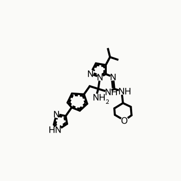 CC(C)c1cnn2c1N=C(NC1CCOCC1)NC2(N)Cc1ccc(-c2c[nH]cn2)cc1